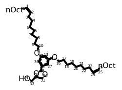 CCCCCCCC/C=C\CCCCCCCCOc1cc(OCCCCCCCC/C=C\CCCCCCCC)cc(C2OCC(CO)O2)c1